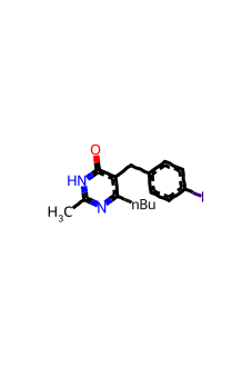 CCCCc1nc(C)[nH]c(=O)c1Cc1ccc(I)cc1